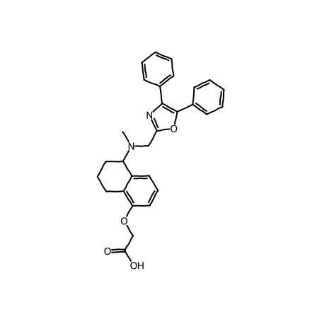 CN(Cc1nc(-c2ccccc2)c(-c2ccccc2)o1)C1CCCc2c(OCC(=O)O)cccc21